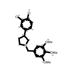 COc1cc(CN2CC[C](c3ccc(Cl)c(Cl)c3)C2)cc(OC)c1OC